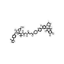 Cc1ncsc1-c1ccc(CNC(=O)[C@@H]2C[C@@H](O)CN2C(=O)[C@@H](NC(=O)CNC(=O)CCC(=O)N2CCN(c3ccc(-c4cc(NC(=O)c5c[nH]c(=O)cc5C(F)(F)F)c(N5C[C@@H](C)N(C)[C@@H](C)C5)cc4F)cn3)CC2)C(C)(C)C)cc1